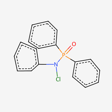 O=P(c1ccccc1)(c1ccccc1)N(Cl)c1ccccc1